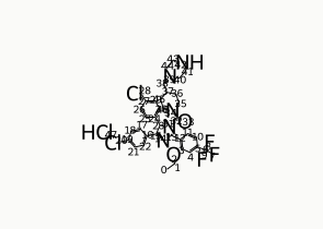 CCOc1cc(C(F)(F)F)ccc1C1=NC(c2ccc(Cl)cc2)C(c2ccc(Cl)cc2)N1C(=O)N1CCC(CN2CCNCC2)CC1.Cl